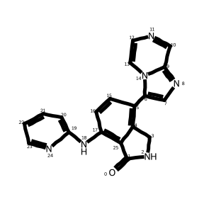 O=C1NCc2c(-c3cnc4cnccn34)ccc(Nc3ccccn3)c21